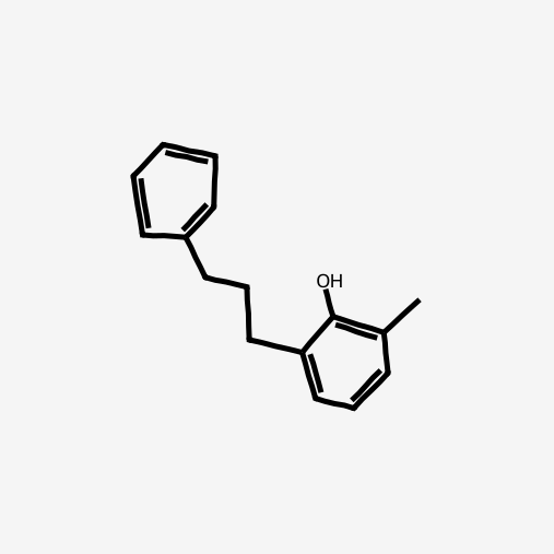 Cc1cccc(CCCc2ccccc2)c1O